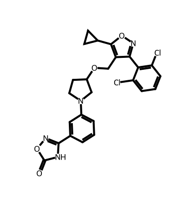 O=c1[nH]c(-c2cccc(N3CCC(OCc4c(-c5c(Cl)cccc5Cl)noc4C4CC4)C3)c2)no1